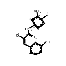 CCC(=Cc1cccc(O)c1)C(=O)Nc1ccc(Cl)c(C(F)(F)F)c1